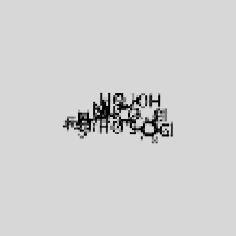 OCC1O[C@H](Sc2ccc(Cl)c(Cl)c2)C(O)C(n2cc(-c3csc(F)n3)nn2)[C@H]1O